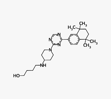 CC1(C)CCC(C)(C)c2cc(-c3ncnc(N4CCC(NCCCCO)CC4)n3)ccc21